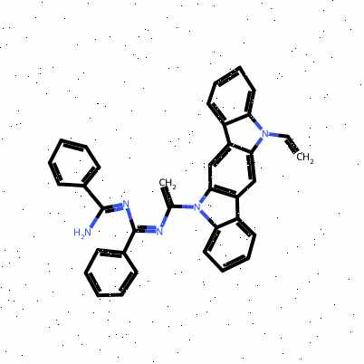 C=Cn1c2ccccc2c2cc3c(cc21)c1ccccc1n3C(=C)/N=C(\N=C(/N)c1ccccc1)c1ccccc1